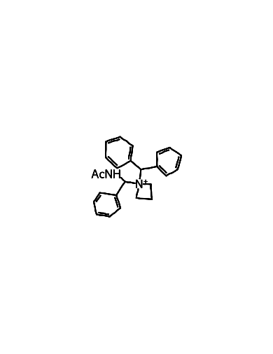 CC(=O)NC(c1ccccc1)[N+]1(C(c2ccccc2)c2ccccc2)CCC1